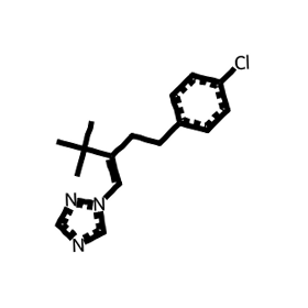 CC(C)(C)C(=Cn1cncn1)CCc1ccc(Cl)cc1